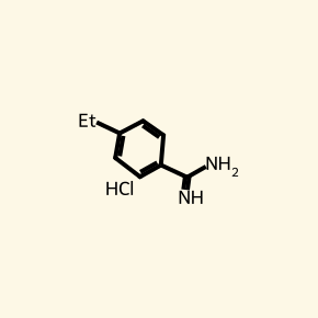 CCc1ccc(C(=N)N)cc1.Cl